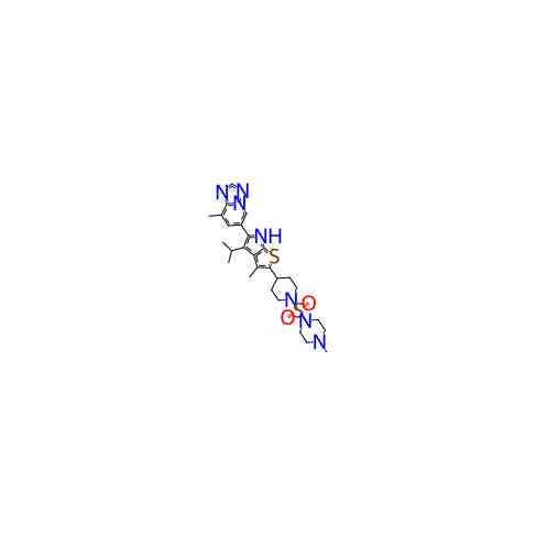 Cc1c(C2CCN(S(=O)(=O)N3CCN(C)CC3)CC2)sc2[nH]c(-c3cc(C)c4ncnn4c3)c(C(C)C)c12